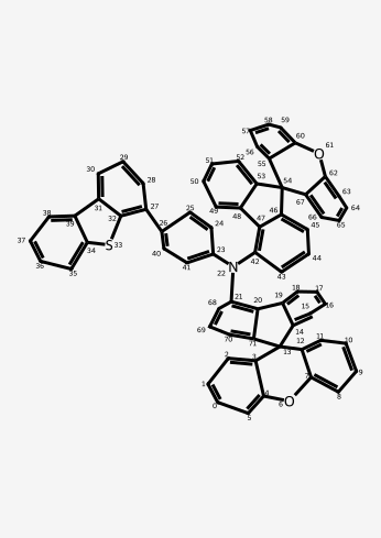 c1ccc2c(c1)Oc1ccccc1C21c2ccccc2-c2c(N(c3ccc(-c4cccc5c4sc4ccccc45)cc3)c3cccc4c3-c3ccccc3C43c4ccccc4Oc4ccccc43)cccc21